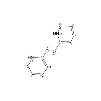 C1=CSNC(OOC2=CC=CSN2)=C1